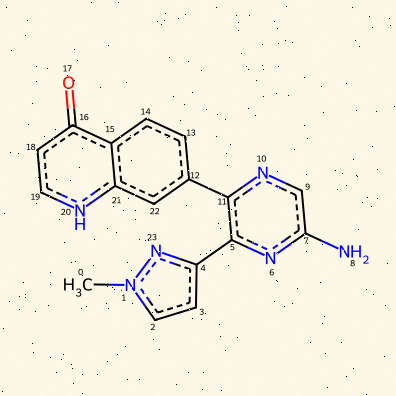 Cn1ccc(-c2nc(N)cnc2-c2ccc3c(=O)cc[nH]c3c2)n1